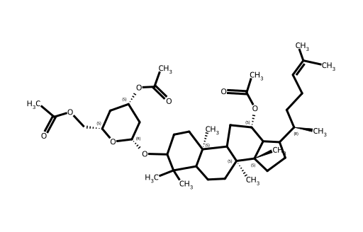 CC(=O)OC[C@@H]1C[C@H](OC(C)=O)C[C@H](OC2CC[C@]3(C)C(CC[C@@]4(C)C3C[C@H](OC(C)=O)C3C([C@H](C)CCC=C(C)C)CC[C@@]34C)C2(C)C)O1